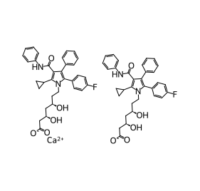 O=C([O-])C[C@H](O)C[C@H](O)CCn1c(-c2ccc(F)cc2)c(-c2ccccc2)c(C(=O)Nc2ccccc2)c1C1CC1.O=C([O-])C[C@H](O)C[C@H](O)CCn1c(-c2ccc(F)cc2)c(-c2ccccc2)c(C(=O)Nc2ccccc2)c1C1CC1.[Ca+2]